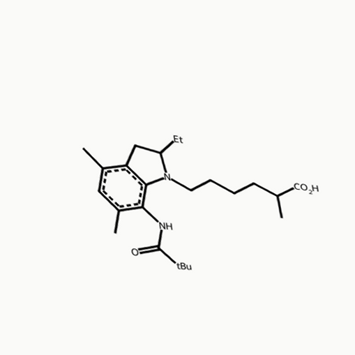 CCC1Cc2c(C)cc(C)c(NC(=O)C(C)(C)C)c2N1CCCCC(C)C(=O)O